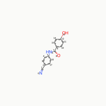 N#Cc1ccc(NC(=O)c2ccc(O)cc2)cc1